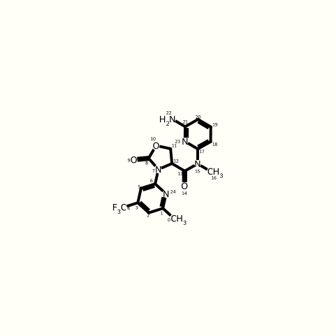 Cc1cc(C(F)(F)F)cc(N2C(=O)OCC2C(=O)N(C)c2cccc(N)n2)n1